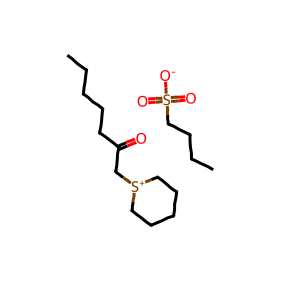 CCCCCC(=O)C[S+]1CCCCC1.CCCCS(=O)(=O)[O-]